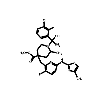 BC(O)(c1cccc(Cl)c1F)N1CCC(Cc2nc(Nc3nc(C)cs3)ccc2F)(C(=O)OC)CC1C